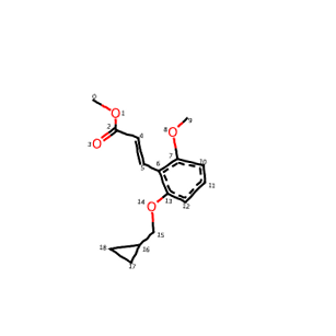 COC(=O)C=Cc1c(OC)cccc1OCC1CC1